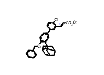 CCOC(=O)/C=C/c1cc(-c2ccc(OCc3ccccc3)c(C34CC5CC(CC(C5)C3)C4)c2)ccc1Cl